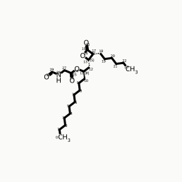 CCCCCCCCCCC[C@H](C[C@@H]1OC(=O)[C@@H]1CCCCCC)OC(=O)CNC=O